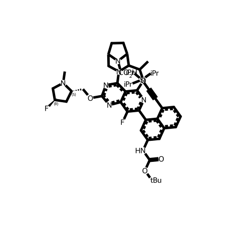 CC1Oc2nc(-c3cc(NC(=O)OC(C)(C)C)cc4cccc(C#C[Si](C(C)C)(C(C)C)C(C)C)c34)c(F)c3nc(OC[C@@H]4C[C@@H](F)CN4C)nc(c23)N2CC3CCC(C12)N3C(=O)O